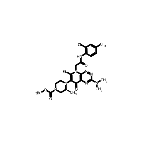 CCc1c(N2CCN(C(=O)OC(C)(C)C)C[C@@H]2C)c(=O)c2nc(N(C)C)nnc2n1CC(=O)Nc1ccc(C(F)(F)F)cc1Cl